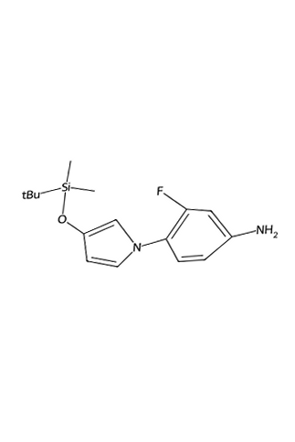 CC(C)(C)[Si](C)(C)Oc1ccn(-c2ccc(N)cc2F)c1